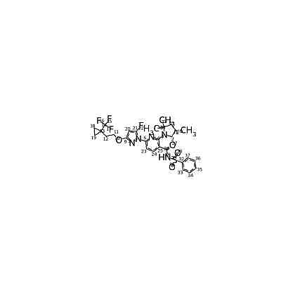 C[C@@H]1CN(c2nc(-n3nc(OCCC4(C(F)(F)F)CC4)cc3F)ccc2C(=O)NS(=O)(=O)c2ccccc2)C(C)(C)C1